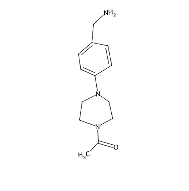 CC(=O)N1CCN(c2ccc(CN)cc2)CC1